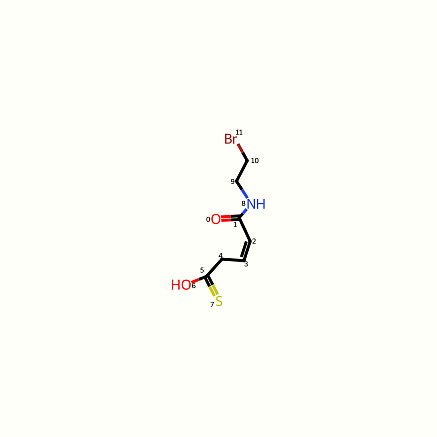 O=C(/C=C\CC(O)=S)NCCBr